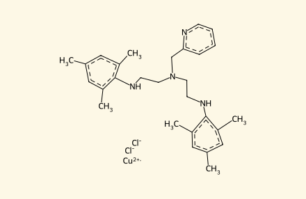 Cc1cc(C)c(NCCN(CCNc2c(C)cc(C)cc2C)Cc2ccccn2)c(C)c1.[Cl-].[Cl-].[Cu+2]